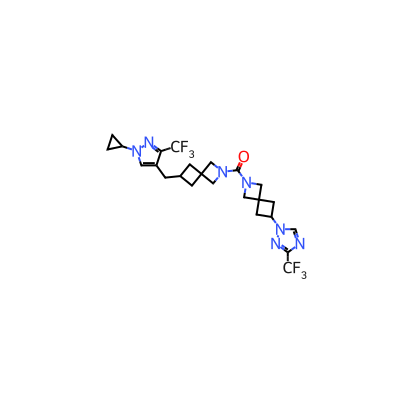 O=C(N1CC2(CC(Cc3cn(C4CC4)nc3C(F)(F)F)C2)C1)N1CC2(CC(n3cnc(C(F)(F)F)n3)C2)C1